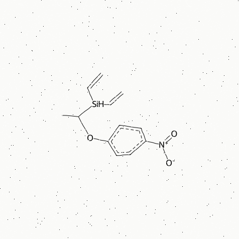 C=C[SiH](C=C)C(C)Oc1ccc([N+](=O)[O-])cc1